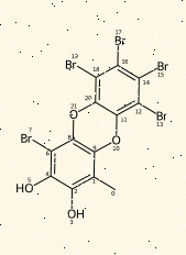 Cc1c(O)c(O)c(Br)c2c1Oc1c(Br)c(Br)c(Br)c(Br)c1O2